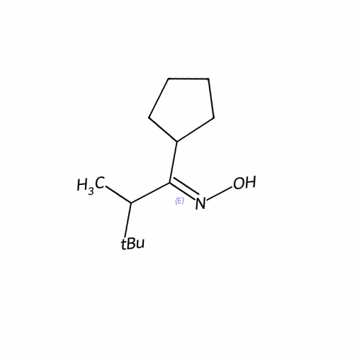 CC(/C(=N/O)C1CCCC1)C(C)(C)C